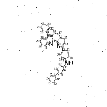 c1ccc(-c2ccc(Nc3ccc(-c4ccc5ccc6c(-c7ccccc7)c7ccccc7nc6c5n4)cc3)cc2)cc1